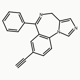 C#Cc1ccc2c(c1)C(c1ccccc1)=NCc1cncn1-2